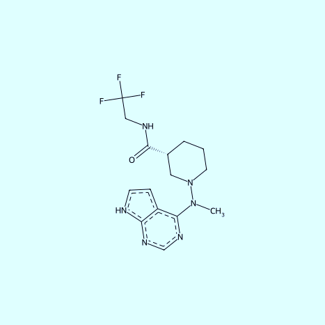 CN(c1ncnc2[nH]ccc12)N1CCC[C@@H](C(=O)NCC(F)(F)F)C1